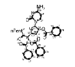 CCCCCC(=O)C(OC(=O)c1ccccc1)[C@H]1O[C@@H](n2ccc(N)nc2=O)[C@H](OC(=O)c2ccccc2)[C@@H]1OC(=O)c1ccccc1